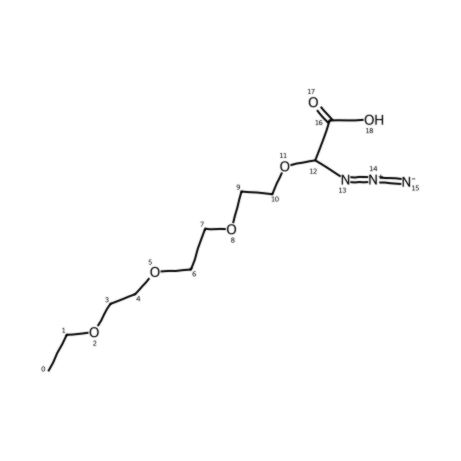 CCOCCOCCOCCOC(N=[N+]=[N-])C(=O)O